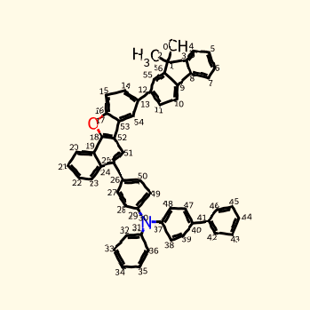 CC1(C)c2ccccc2-c2ccc(-c3ccc4oc5c6ccccc6c(-c6ccc(N(c7ccccc7)c7ccc(-c8ccccc8)cc7)cc6)cc5c4c3)cc21